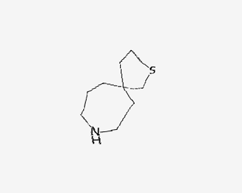 C1CNCCC2(C1)CCSC2